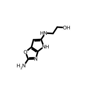 Nc1nc2[nH]c(NCCO)cc2o1